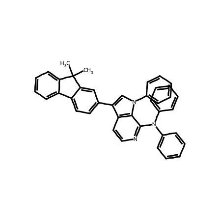 CC1(C)c2ccccc2-c2ccc(-c3cn(-c4ccccc4)c4c(N(c5ccccc5)c5ccccc5)nccc34)cc21